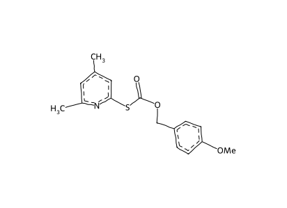 COc1ccc(COC(=O)Sc2cc(C)cc(C)n2)cc1